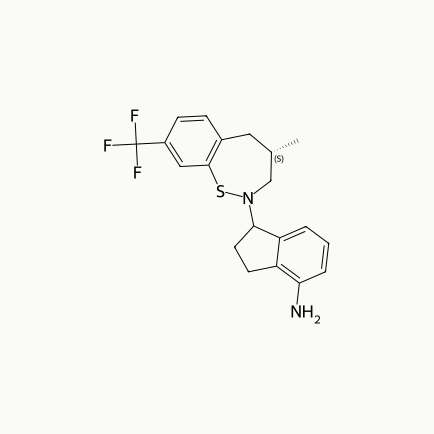 C[C@H]1Cc2ccc(C(F)(F)F)cc2SN(C2CCc3c(N)cccc32)C1